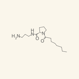 CCCCCCCC(=O)N1CCC[C@@H]1C(=O)NCCCN